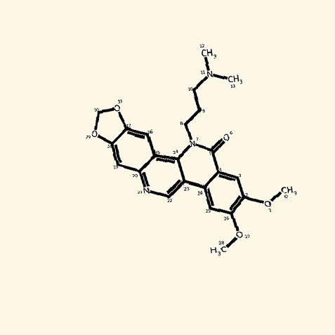 COc1cc2c(=O)n(CCCN(C)C)c3c4cc5c(cc4ncc3c2cc1OC)OCO5